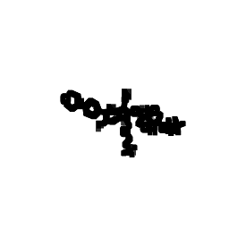 CC(C)(C)[Si](C)(C)OC1CO[C@H]2[C@@H]1OC[C@H]2Oc1c(C#N)c2nc(-c3ccc(N4CCOCC4)cc3)c(F)cc2n1COCC[Si](C)(C)C